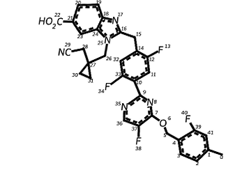 Cc1ccc(COc2nc(-c3cc(F)c(Cc4nc5ccc(C(=O)O)cc5n4CC4(CC#N)CC4)cc3F)ncc2F)c(F)c1